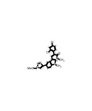 COCn1cc(-c2ccc3c(c2)c2cc(-c4ccc(Cl)cc4Cl)c(=O)n(C)c2n3C)nn1